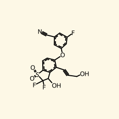 N#Cc1cc(F)cc(Oc2ccc3c(c2C#CCO)C(O)C(F)(F)S3(=O)=O)c1